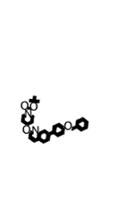 CC(C)(C)OC(=O)N1CCC(Oc2ccc3c(n2)CC(c2ccc(OCc4ccccc4)cc2)=CC3)CC1